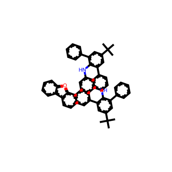 CC(C)(C)c1cc(-c2ccccc2)c(Nc2cc(Nc3c(-c4ccccc4)cc(C(C)(C)C)cc3-c3ccccc3)cc(-c3cccc4c3oc3ccccc34)c2)c(-c2ccccc2)c1